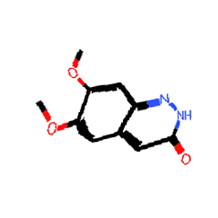 COc1cc2cc(=O)[nH]nc2cc1OC